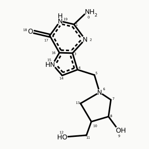 Nc1nc2c(CN3CC(O)C(CO)C3)c[nH]c2c(=O)[nH]1